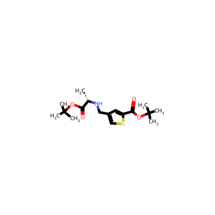 C[C@H](NCc1csc(C(=O)OC(C)(C)C)c1)C(=O)OC(C)(C)C